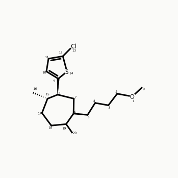 COCCCCC1C[C@H](c2ccc(Cl)s2)[C@@H](C)CCC1C